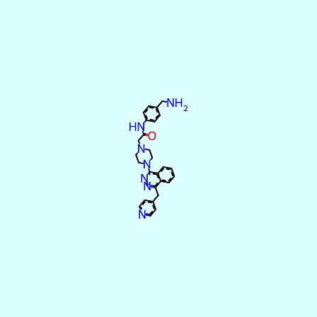 NCc1ccc(NC(=O)CN2CCN(c3nnc(Cc4ccncc4)c4ccccc34)CC2)cc1